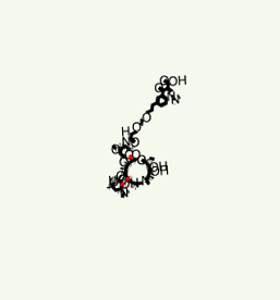 CC[C@H]1OC(=O)[C@H](C)[C@@H](O[C@H]2C[C@@](C)(OC)[C@H](NC(=O)CCOCCOCCCc3ccc4c(c3)c(=O)c(C(=O)O)cn4N(C)C)[C@H](C)O2)[C@H](C)[C@@H](O[C@@H]2O[C@H](C)C[C@H](N(C)C)[C@H]2O)[C@](C)(O)C[C@@H](C)CN(C)[C@H](C)[C@@H](O)[C@]1(C)O